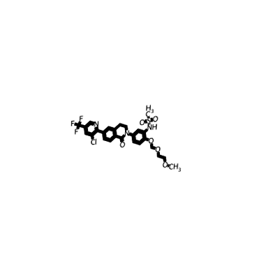 COCCOCOc1ccc(N2CCc3cc(-c4ncc(C(F)(F)F)cc4Cl)ccc3C2=O)cc1NS(C)(=O)=O